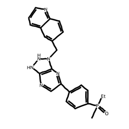 CCP(C)(=O)c1ccc(-c2cnc3c(n2)N(Cc2ccc4ncccc4c2)NN3)cc1